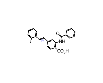 Cc1ccccc1/C=C/c1ccc(C(=O)O)c(NC(=O)c2ccccc2)c1